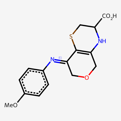 COc1ccc(/N=C2\COCC3=C2SCC(C(=O)O)N3)cc1